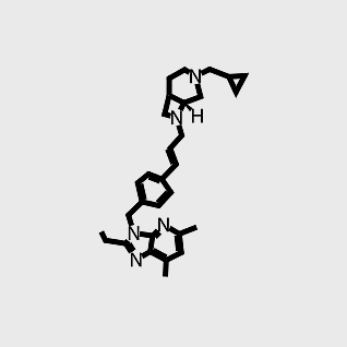 CCc1nc2c(C)cc(C)nc2n1Cc1ccc(/C=C/CN2CC3CCN(CC4CC4)C[C@@H]32)cc1